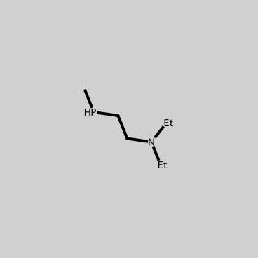 CCN(CC)CCPC